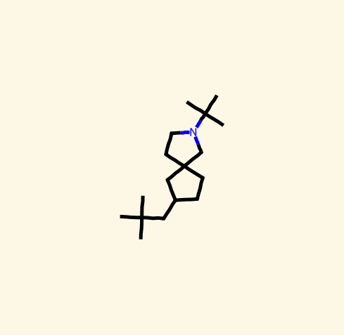 CC(C)(C)CC1CCC2(CCN(C(C)(C)C)C2)C1